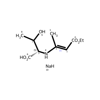 CCOC(=O)/C=C(\C)N[C@H](C(=O)O)C(C)O.[NaH]